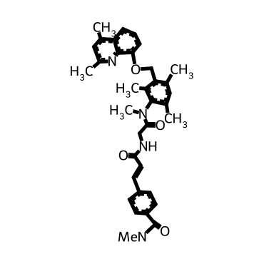 CNC(=O)c1ccc(/C=C/C(=O)NCC(=O)N(C)c2c(C)cc(C)c(COc3cccc4c(C)cc(C)nc34)c2C)cc1